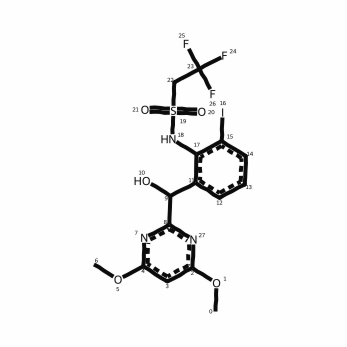 COc1cc(OC)nc(C(O)c2cccc(I)c2NS(=O)(=O)CC(F)(F)F)n1